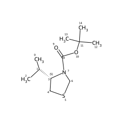 CC(C)[C@H]1CSCN1C(=O)OC(C)(C)C